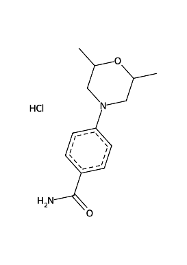 CC1CN(c2ccc(C(N)=O)cc2)CC(C)O1.Cl